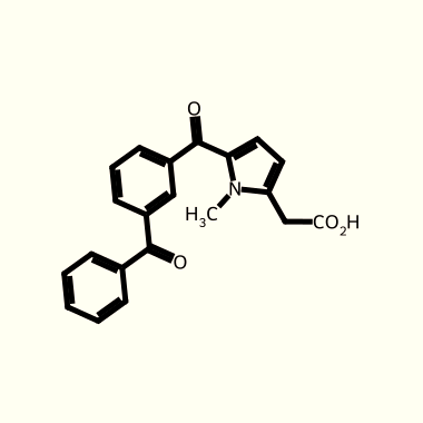 Cn1c(CC(=O)O)ccc1C(=O)c1cccc(C(=O)c2ccccc2)c1